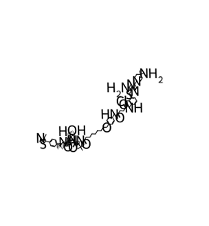 Cc1ncsc1-c1ccc([C@@H](C)NC(=O)[C@H]2C[C@H](O)CN2C(=O)[C@H](NC(=O)CCCCCCCOc2ccc(NC(=O)CCC(=O)Nc3cccc(Sc4ncc(N5CCC(C)(N)CC5)nc4N)c3Cl)cc2)C(C)(C)C)cc1